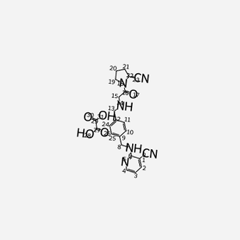 N#Cc1cccnc1NCc1ccc(CNCC(=O)N2CCC[C@H]2C#N)cc1.O=C(O)C(=O)O